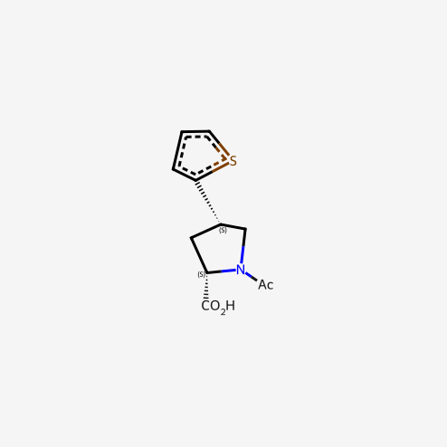 CC(=O)N1C[C@@H](c2cccs2)C[C@H]1C(=O)O